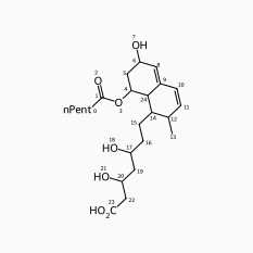 CCCCCC(=O)OC1CC(O)C=C2C=CC(C)C(CCC(O)CC(O)CC(=O)O)C21